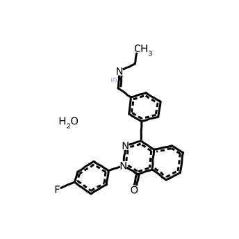 CC/N=C\c1cccc(-c2nn(-c3ccc(F)cc3)c(=O)c3ccccc23)c1.O